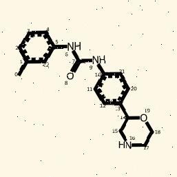 Cc1cccc(NC(=O)Nc2ccc(C3CNCCO3)cc2)c1